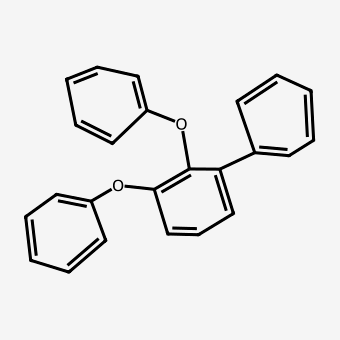 c1ccc(Oc2cccc(-c3ccccc3)c2Oc2ccccc2)cc1